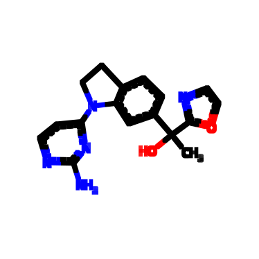 CC(O)(c1ccc2c(c1)N(c1ccnc(N)n1)CC2)c1ncco1